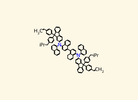 C=Cc1ccc(C2(c3ccc(CC(C)C)cc3)c3ccccc3-c3ccc(N(c4ccc(-c5ccc(N(c6ccc7c(c6)C(c6ccc(C=C)cc6)(c6ccc(CC(C)C)cc6)c6ccccc6-7)c6cccc7ccccc67)c6ccccc56)c5c4C=CCC5)c4cccc5ccccc45)cc32)cc1